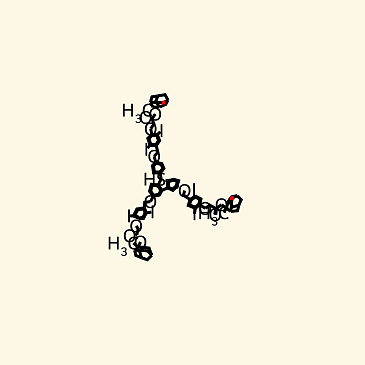 CC1(OC(=O)COc2cc(I)c(COc3ccc([SH]4c5ccc(OCc6cc(I)c(OCC(=O)OC7(C)C8CC9CC(C8)CC7C9)cc6I)cc5-c5cc(OCc6cc(I)c(OCC(=O)OC7(C)C8CC9CC(C8)CC7C9)cc6I)ccc54)cc3)cc2I)C2CC3CC(C2)CC1C3